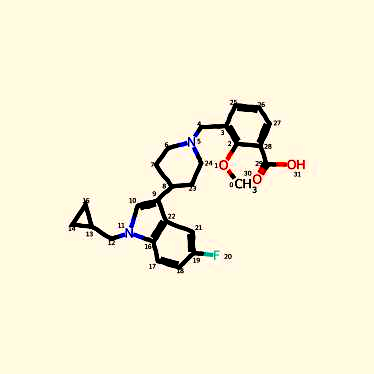 COc1c(CN2CCC(c3cn(CC4CC4)c4ccc(F)cc34)CC2)cccc1C(=O)O